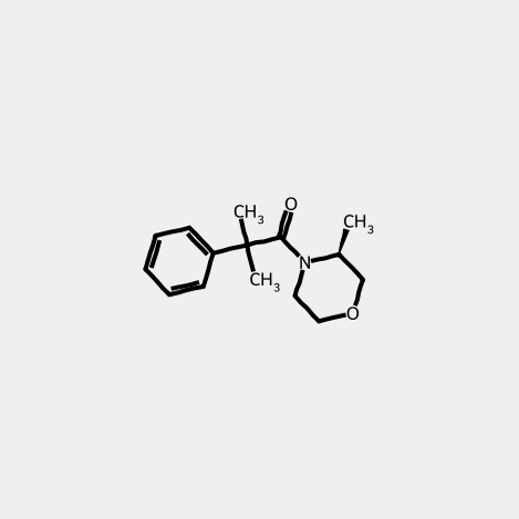 C[C@H]1COCCN1C(=O)C(C)(C)c1ccccc1